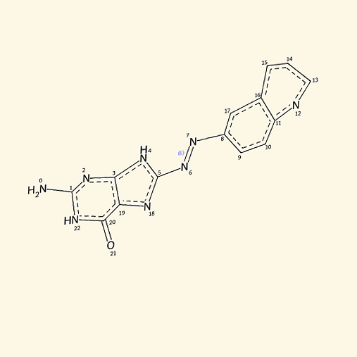 Nc1nc2[nH]c(/N=N/c3ccc4ncccc4c3)nc2c(=O)[nH]1